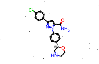 NC(=O)c1cc(-c2ccc(Cl)cc2)nn1-c1ccc([C@H]2CNCCO2)cc1